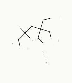 N.N.N.N.NC(N)(CC(=O)O)CC(CC(=O)O)(CC(=O)O)CC(=O)O